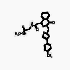 CNC(=O)CNC(=O)Cc1nn(Cc2nc(-c3ccc(C)cc3)cs2)c(=O)c2ccccc12